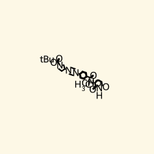 CN(C(=O)c1ccc(N2CCN(C3CCN(C(=O)OC(C)(C)C)C3)CC2)cc1C=O)C1CCC(=O)NC1=O